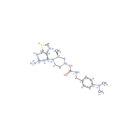 C[C@H]1CN(OC(=O)NCc2ccc(N(C)C)cc2)CCN1c1nc(N)nc2scnc12